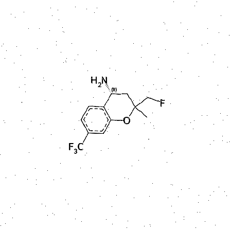 CC1(CF)C[C@@H](N)c2ccc(C(F)(F)F)cc2O1